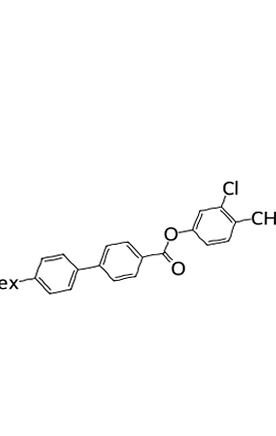 CCCCCCc1ccc(-c2ccc(C(=O)Oc3ccc(C=O)c(Cl)c3)cc2)cc1